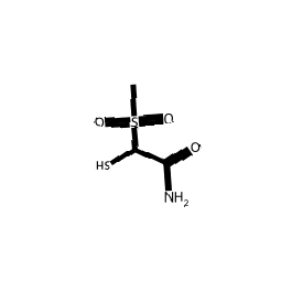 CS(=O)(=O)C(S)C(N)=O